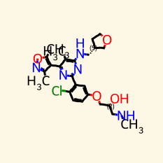 CNC[C@@H](O)COc1ccc(Cl)c(-c2nc(NC[C@@H]3CCOC3)c(C)c(-c3c(C)noc3C)n2)c1